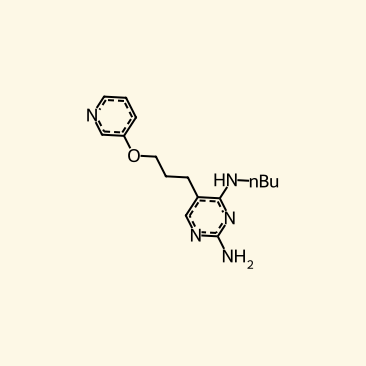 CCCCNc1nc(N)ncc1CCCOc1cccnc1